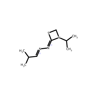 CC(C)/C=N/N=C1\SCN1C(C)C